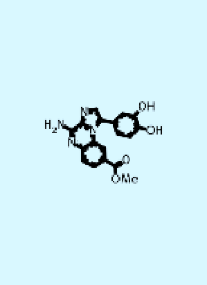 COC(=O)c1ccc2nc(N)c3ncc(-c4ccc(O)c(O)c4)n3c2c1